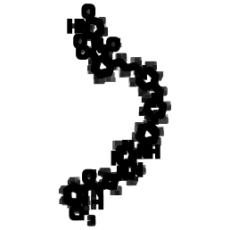 O=C1CC[C@H](N2C(=O)c3cccc(CCCN4CCC(CN5CCN(c6ccc(Nc7ncnc8c7ncn8C7CC(NC(=O)c8cccc(C(F)(F)F)n8)C7)cc6)CC5)CC4)c3C2=O)C(=O)N1